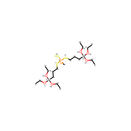 CCO[Si](CCCS[PH](C)(S)SCCC[Si](OCC)(OCC)OCC)(OCC)OCC